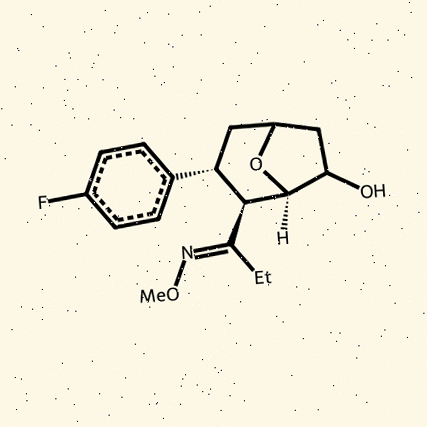 CCC(=NOC)[C@H]1[C@H](c2ccc(F)cc2)CC2CC(O)[C@@H]1O2